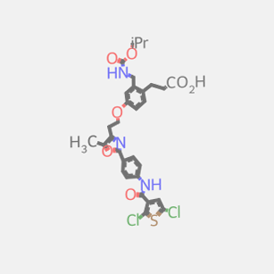 Cc1oc(-c2ccc(NC(=O)c3cc(Cl)sc3Cl)cc2)nc1CCOc1ccc(CCC(=O)O)c(CNC(=O)OC(C)C)c1